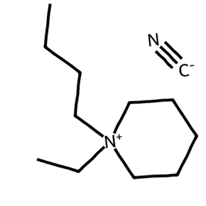 CCCC[N+]1(CC)CCCCC1.[C-]#N